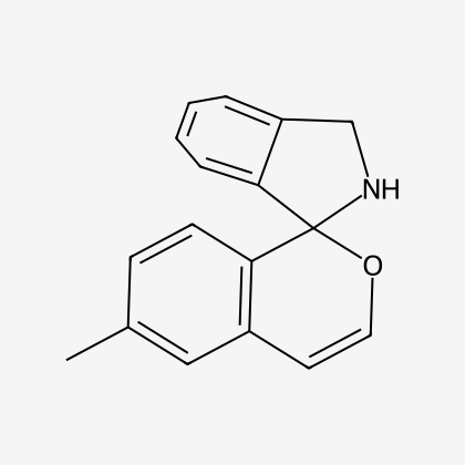 Cc1ccc2c(c1)C=COC21NCc2ccccc21